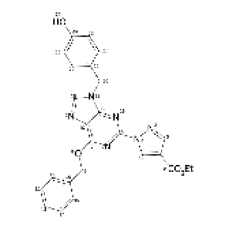 CCOC(=O)c1cnn(-c2nc(OCc3ccccc3)c3ncn(Cc4ccc(O)cc4)c3n2)c1